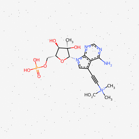 C[C@@]1(O)[C@H](O)[C@@H](COP(=O)(O)O)O[C@H]1n1cc(C#C[N+](C)(C)C(=O)O)c2c(N)ncnc21